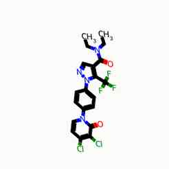 CCN(CC)C(=O)c1cnn(-c2ccc(-n3ccc(Cl)c(Cl)c3=O)cc2)c1C(F)(F)F